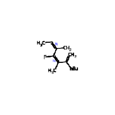 C=C(CCCC)/C(C)=C(F)\C(C)=C/C